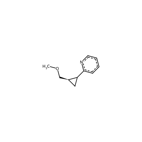 COC[C@@H]1CC1c1ccccn1